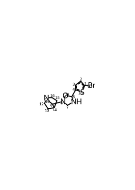 Brc1ccc(C2NCN(C3CN4CCC3CC4)O2)s1